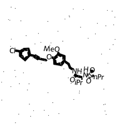 CCCS(=O)(=O)N[C@H](C(=O)NCCc1ccc(OCC#Cc2ccc(Cl)cc2)c(OC)c1)C(C)C